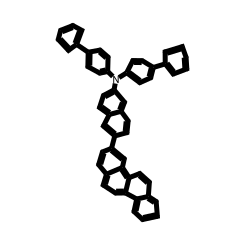 c1ccc(-c2ccc(N(c3ccc(-c4ccccc4)cc3)c3ccc4cc(-c5ccc6ccc7c8ccccc8ccc7c6c5)ccc4c3)cc2)cc1